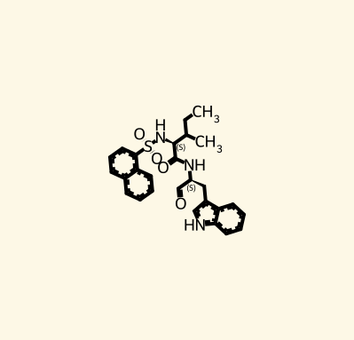 CCC(C)[C@H](NS(=O)(=O)c1cccc2ccccc12)C(=O)N[C@H](C=O)Cc1c[nH]c2ccccc12